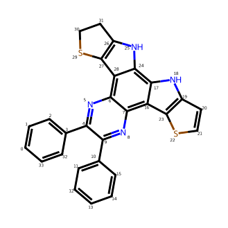 c1ccc(-c2nc3c(nc2-c2ccccc2)c2c([nH]c4ccsc42)c2[nH]c4c(c32)SCC4)cc1